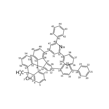 CC1(C)c2ccccc2C2(c3ccc(-c4ccc(-c5ccccc5)cc4)cc3-c3c(-c4cc(-c5ccccc5)nc(-c5ccccc5)c4)cccc32)c2ccccc21